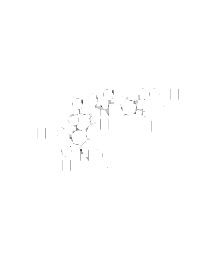 Cc1c(O)c([N+](=O)[O-])cc2cc(C(=O)NC(=O)c3ccc(O)c(C(=O)O)c3)c(=O)oc12